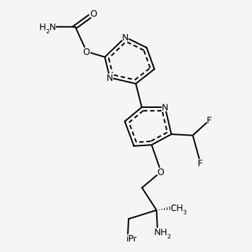 CC(C)C[C@](C)(N)COc1ccc(-c2ccnc(OC(N)=O)n2)nc1C(F)F